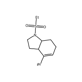 CCS(=O)(=O)N1CCC2C(C(C)C)=CCCC21